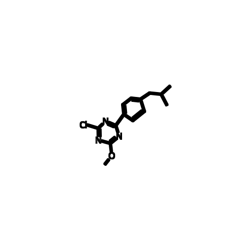 COc1nc(Cl)nc(-c2ccc(CC(C)C)cc2)n1